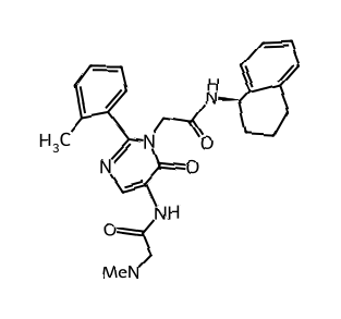 CNCC(=O)Nc1cnc(-c2ccccc2C)n(CC(=O)N[C@@H]2CCCc3ccccc32)c1=O